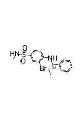 CC[C@H](Nc1ccc(S(=O)(=O)NC)cc1Br)c1ccccc1